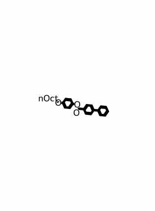 CCCCCCCCOc1ccc(OC(=O)c2ccc(-c3ccccc3)cc2)cc1